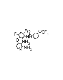 Nc1nccc(Oc2cc(NC(=O)c3cccc(OC(F)(F)F)c3)c(F)cc2F)c1N